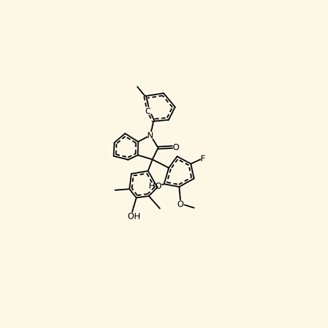 COc1cc(F)cc(C2(c3cc(C)c(O)c(C)c3)C(=O)N(c3cccc(C)c3)c3ccccc32)c1O